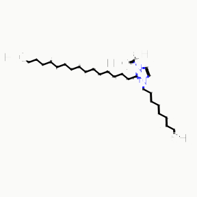 CCCCCCCCCCCCCCCCC1N(CCCCCCCCC)C=CN1C(C)C